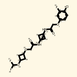 O=C(COc1ccc(Cl)c(F)c1)NC12CC(NC(=O)COC3CC(OC(F)F)C3)(C1)C2